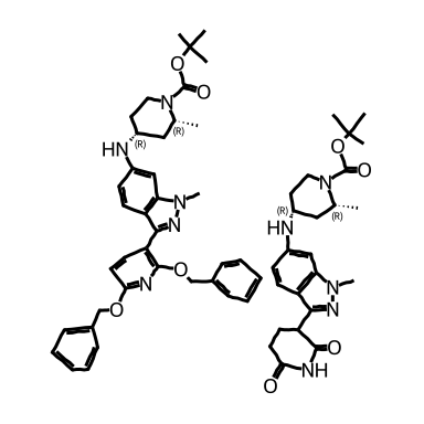 C[C@@H]1C[C@H](Nc2ccc3c(-c4ccc(OCc5ccccc5)nc4OCc4ccccc4)nn(C)c3c2)CCN1C(=O)OC(C)(C)C.C[C@@H]1C[C@H](Nc2ccc3c(C4CCC(=O)NC4=O)nn(C)c3c2)CCN1C(=O)OC(C)(C)C